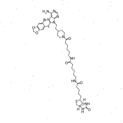 Nc1ncnc2c1nc(Sc1cc3c(cc1Br)OCO3)n2CCC1CCN(C(=O)CCCCCNC(=O)CCCCCNC(=O)CCCCC2SC[C@@H]3NC(=O)N[C@H]23)CC1